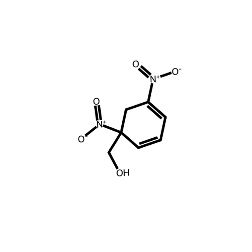 O=[N+]([O-])C1=CC=CC(CO)([N+](=O)[O-])C1